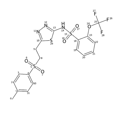 Cc1ccc(S(=O)(=O)CCc2nnc(NS(=O)(=O)c3ccccc3OC(F)(F)F)s2)cc1